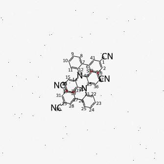 N#Cc1cc(C#N)cc(-c2ccccc2N2c3ccccc3N(c3ccccc3-c3cc(C#N)cc(C#N)c3)c3ccccc32)c1